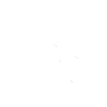 c1ccc(CNC2=Nc3oncc3NC23CCCCC3)cc1